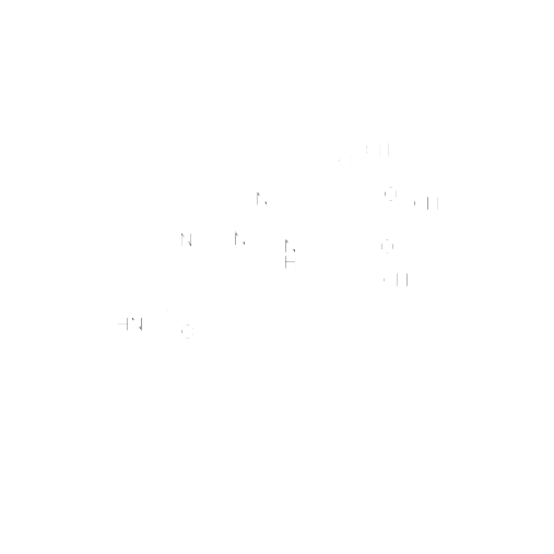 COc1cc(Nc2nccc(N3CCCC(C(=O)Nc4ccccc4)C3)n2)cc(OC)c1OC